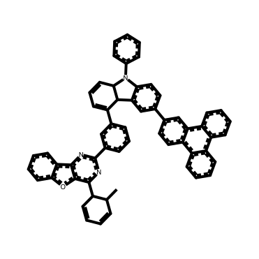 CC1C=CC=CC1c1nc(-c2cccc(C3=CC=CC4C3c3cc(-c5ccc6c7ccccc7c7ccccc7c6c5)ccc3N4c3ccccc3)c2)nc2c1oc1ccccc12